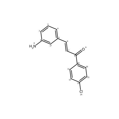 Nc1cccc(C=CC(=O)c2ccc(Cl)cc2)c1